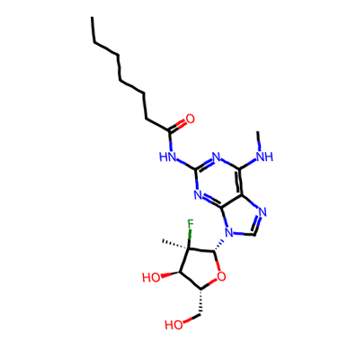 CCCCCCC(=O)Nc1nc(NC)c2ncn([C@@H]3O[C@H](CO)[C@@H](O)[C@@]3(C)F)c2n1